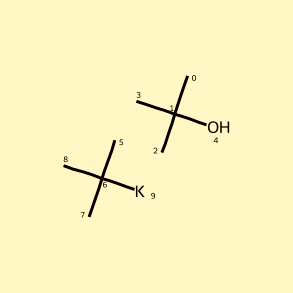 CC(C)(C)O.C[C](C)(C)[K]